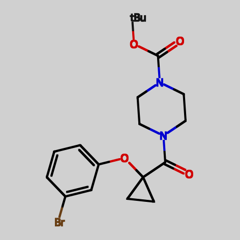 CC(C)(C)OC(=O)N1CCN(C(=O)C2(Oc3cccc(Br)c3)CC2)CC1